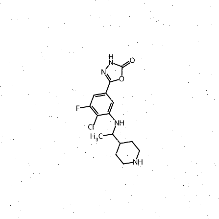 CC(Nc1cc(-c2n[nH]c(=O)o2)cc(F)c1Cl)C1CCNCC1